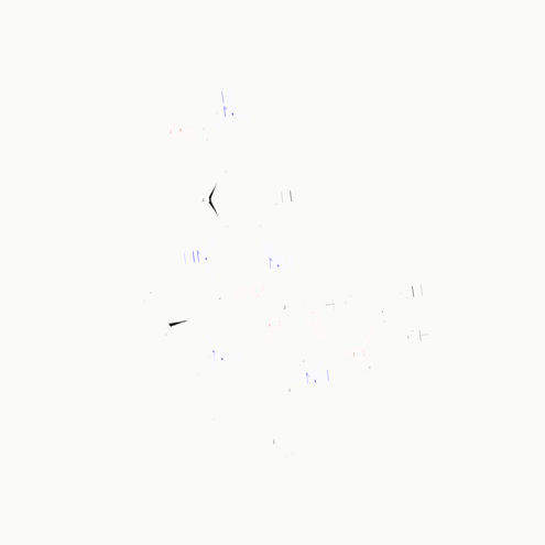 CC(=N)[C@H](C[C@@H]1CCNC1=O)NC(=O)[C@H](CC1CC1)n1ccc(C)c(NC(=O)OC(C)(C)C)c1=O